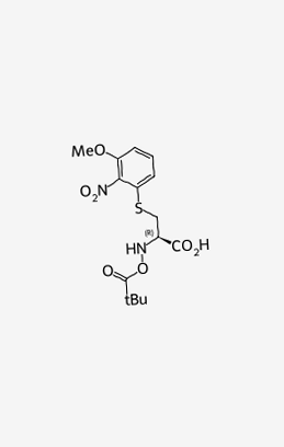 COc1cccc(SC[C@H](NOC(=O)C(C)(C)C)C(=O)O)c1[N+](=O)[O-]